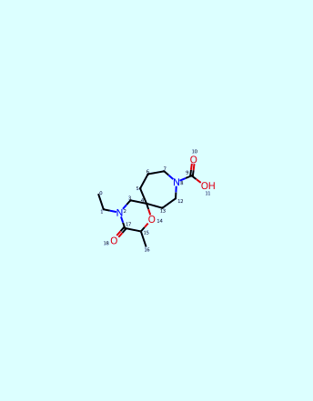 CCN1CC2(CCCN(C(=O)O)CC2)OC(C)C1=O